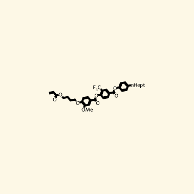 C=CC(=O)OCCCCOc1ccc(C(=O)Oc2ccc(C(=O)Oc3ccc(CCCCCCC)cc3)cc2C(F)(F)F)cc1OC